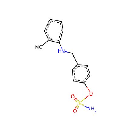 N#Cc1ccccc1NCc1ccc(OS(N)(=O)=O)cc1